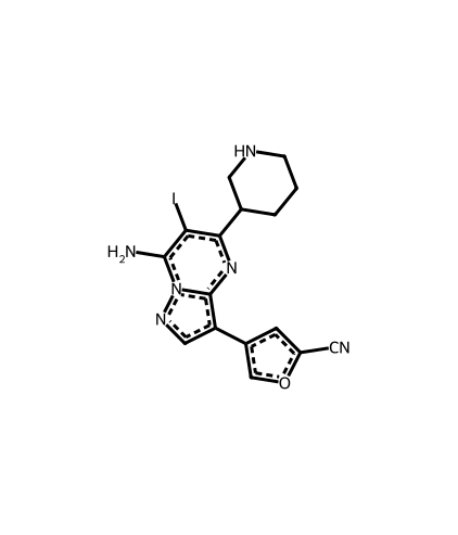 N#Cc1cc(-c2cnn3c(N)c(I)c(C4CCCNC4)nc23)co1